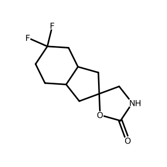 O=C1NCC2(CC3CCC(F)(F)CC3C2)O1